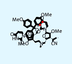 [CH2]C(C#N)[C@H]1[C@@H](OC)[C@H](n2ccc(=O)[nH]c2=O)O[C@H]1CN(C)CC[C@H]1[C@@H](OC)[C@H](n2ccc(=O)[nH]c2=O)O[C@@H]1COC(c1ccccc1)(c1ccc(OC)cc1)c1ccc(OC)cc1